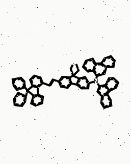 CCC1(CC)c2cc(/C=C/c3cccc4c3-c3ccccc3C4(c3ccccc3)c3ccccc3)ccc2-c2ccc(N(c3cc4ccccc4c4ccccc34)c3cc4ccccc4c4ccccc34)cc21